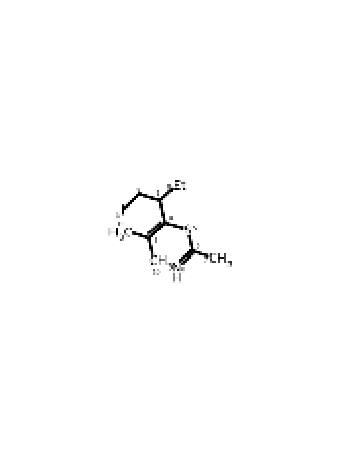 CCC(CI)C(SC(C)=N)=C(C)C